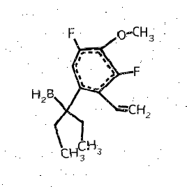 BC(CC)(CC)c1cc(F)c(OC)c(F)c1C=C